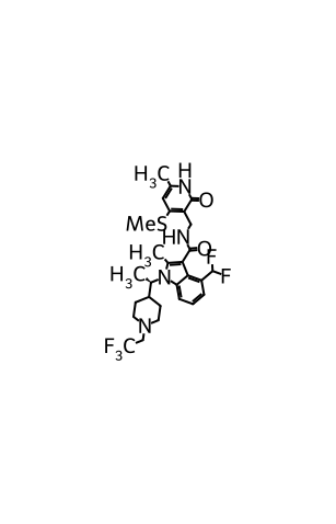 CSc1cc(C)[nH]c(=O)c1CNC(=O)c1c(C)n([C@H](C)C2CCN(CC(F)(F)F)CC2)c2cccc(C(F)F)c12